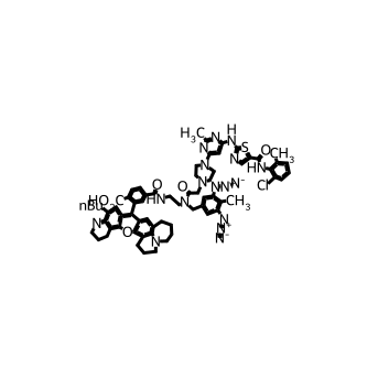 CCCCc1cc2c(c3c1=NCCC3)Oc1c(cc3c4c1CCCN4CCCC3)C=2c1cc(C(=O)NCCN(Cc2cc(N=[N+]=[N-])c(C)c(N=[N+]=[N-])c2)C(=O)CN2CCN(c3cc(Nc4ncc(C(=O)Nc5c(C)cccc5Cl)s4)nc(C)n3)CC2)ccc1C(=O)O